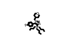 CCC[CH2][Sn]([CH2]CCC)([CH2]CCC)[c]1nnn(CC2CCOCC2)c1-c1ccc(F)cc1